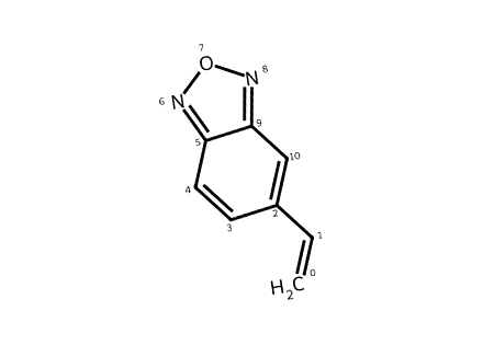 C=Cc1ccc2nonc2c1